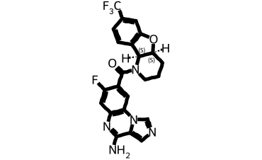 Nc1nc2cc(F)c(C(=O)N3CCC[C@@H]4Oc5cc(C(F)(F)F)ccc5[C@@H]43)cc2n2cncc12